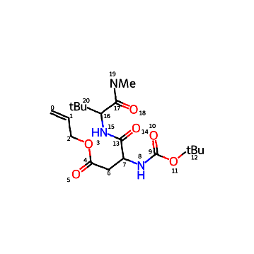 C=CCOC(=O)CC(NC(=O)OC(C)(C)C)C(=O)NC(C(=O)NC)C(C)(C)C